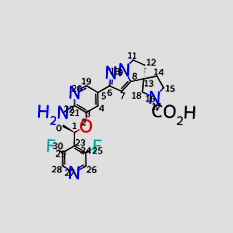 C[C@@H](Oc1cc(-c2cc3n(n2)CC[C@@]32CCN(C(=O)O)C2)cnc1N)c1c(F)cncc1F